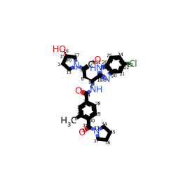 Cc1cc(C(=O)N[C@@H](CC(=C=O)N2CC[C@@H](O)C2)c2nc3cc(Cl)ccc3[nH]2)ccc1C(=O)N1CCCC1